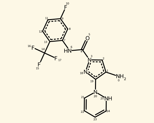 Nc1cn(C(=O)Nc2cc(F)ccc2C(F)(F)F)nc1N1C=CC=CN1